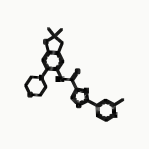 Cc1cc(-c2nc(C(=O)Nc3cc4c(cc3N3CCOCC3)OC(C)(C)C4)co2)ccn1